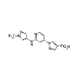 Cn1cc(Nc2cc(-n3cc(C(=O)O)cn3)ccn2)cn1